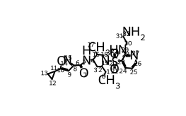 CCC1CC(NC(=O)c2cc(C3CC3)on2)C(C)CN1S(=O)(=O)c1cccnc1NCCN